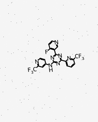 Fc1ccncc1-c1nc(Nc2ccnc(C(F)(F)F)c2)nc(-c2cccc(C(F)(F)F)n2)n1